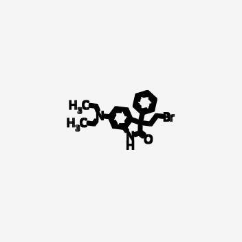 CCN(CC)c1ccc2c(c1)NC(=O)C2(CCBr)c1ccccc1